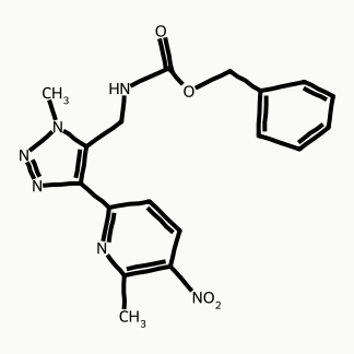 Cc1nc(-c2nnn(C)c2CNC(=O)OCc2ccccc2)ccc1[N+](=O)[O-]